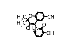 CC1=C(n2cccc(O)c2=O)c2cc(C#N)ccc2OC1(C)C